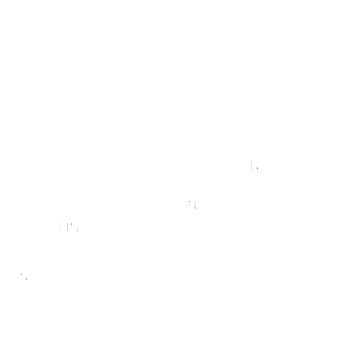 N#Cc1cc2cc(CN3CCC(CC4(C5CCCC5)NCCc5ccccc54)CC3)ccc2[nH]1